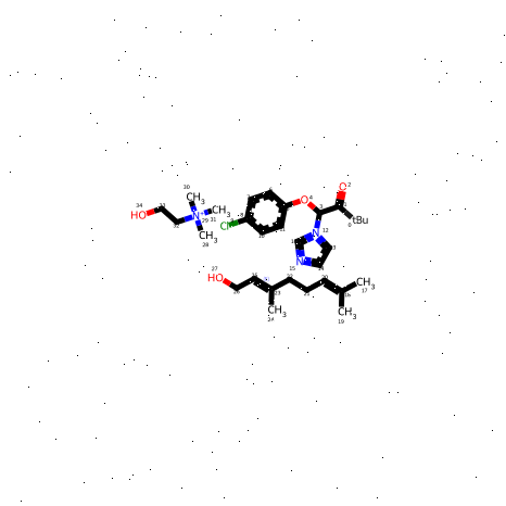 CC(C)(C)C(=O)C(Oc1ccc(Cl)cc1)n1ccnc1.CC(C)=CCC/C(C)=C/CO.C[N+](C)(C)CCO